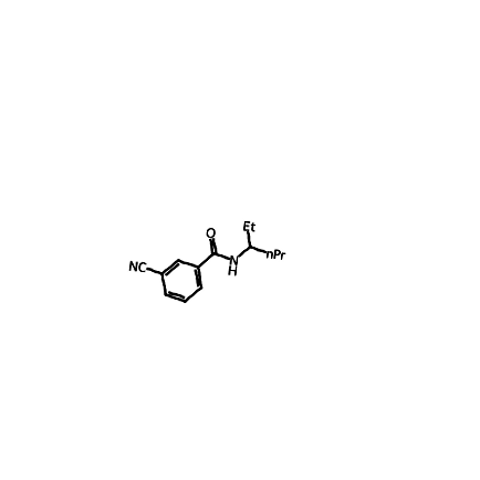 CCCC(CC)NC(=O)c1cccc(C#N)c1